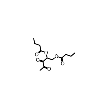 CCCC(=O)OCC(OC(=O)CCC)C(=O)C(C)=O